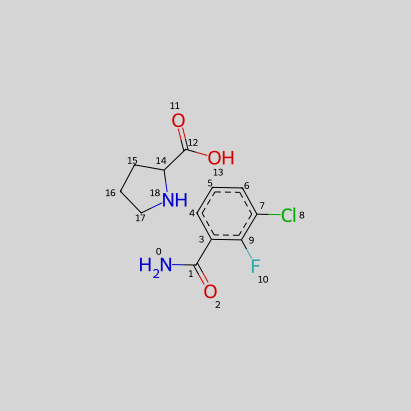 NC(=O)c1cccc(Cl)c1F.O=C(O)C1CCCN1